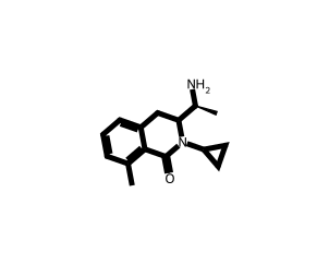 Cc1cccc2c1C(=O)N(C1CC1)C([C@H](C)N)C2